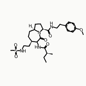 CC[C@H](C)C(=O)NC1C(=O)N2[C@@H](CC[C@@H]1CCNS(C)(=O)=O)CC[C@H]2C(=O)NCCc1ccc(OC)cc1